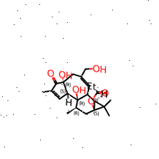 CCC(=O)O[C@@]12C[C@@H](C)[C@@]3(O)C(C=C(CO)C[C@]4(O)C(=O)C(C)=C[C@@H]34)[C@H]1C2(C)C